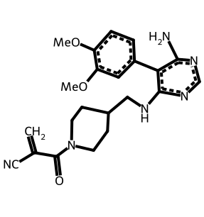 C=C(C#N)C(=O)N1CCC(CNc2ncnc(N)c2-c2ccc(OC)c(OC)c2)CC1